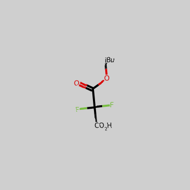 CCC(C)OC(=O)C(F)(F)C(=O)O